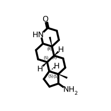 C[C@]12CCC(=O)NC1CC[C@@H]1[C@H]2CC[C@]2(C)C(N)CC[C@@H]12